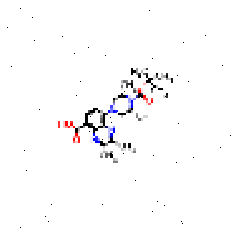 Cc1nc2c(C(=O)O)ccc(N3C[C@@H](C)N(C(=O)OC(C)(C)C)[C@@H](C)C3)c2nc1C